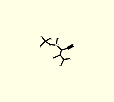 C#CC(C(C)C(C)C)N(C)CC(C)(C)C